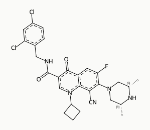 C[C@@H]1CN(c2c(F)cc3c(=O)c(C(=O)NCc4ccc(Cl)cc4Cl)cn(C4CCC4)c3c2C#N)C[C@H](C)N1